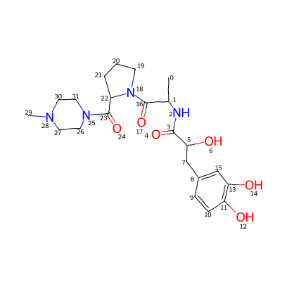 CC(NC(=O)C(O)Cc1ccc(O)c(O)c1)C(=O)N1CCCC1C(=O)N1CCN(C)CC1